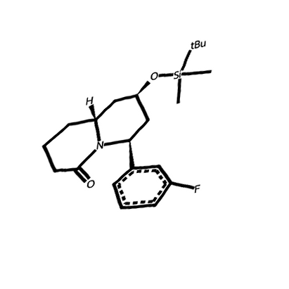 CC(C)(C)[Si](C)(C)O[C@@H]1C[C@H]2CCCC(=O)N2[C@H](c2cccc(F)c2)C1